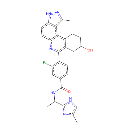 Cc1c[nH]c(C(C)NC(=O)c2ccc(-c3nc4ccc5[nH]nc(C)c5c4c4c3CC(O)CC4)c(F)c2)n1